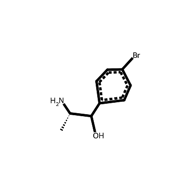 C[C@H](N)C(O)c1ccc(Br)cc1